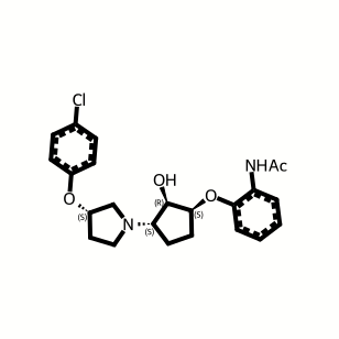 CC(=O)Nc1ccccc1O[C@H]1CC[C@H](N2CC[C@H](Oc3ccc(Cl)cc3)C2)[C@H]1O